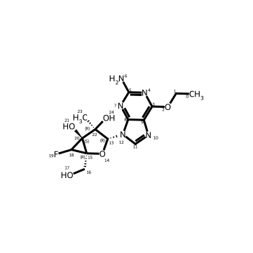 CCOc1nc(N)nc2c1ncn2[C@@H]1O[C@@]2(CO)C(F)[C@]2(O)[C@@]1(C)O